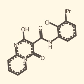 CC(C)c1cccc(NC(=O)c2c(O)nc3ccccn3c2=O)c1Cl